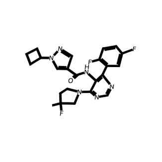 CC1(F)CCN(c2ncnc(-c3cc(F)ccc3F)c2NC(=O)c2cnn(C3CCC3)c2)C1